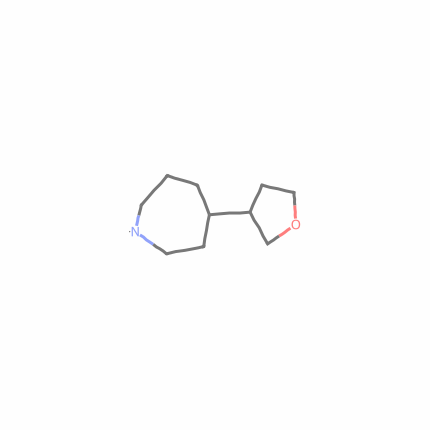 C1C[N]CCC(C2CCOC2)C1